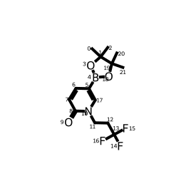 CC1(C)OB(c2ccc(=O)n(CCC(F)(F)F)c2)OC1(C)C